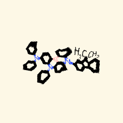 CC1(C)c2ccccc2-c2ccc(N3c4ccccc4B4c5ccc(N(c6ccccc6)c6ccccc6)cc5N(c5ccccc5)c5cccc3c54)cc21